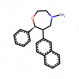 CN1CCO[C@H](c2ccccc2)C(c2ccc3ccccc3c2)C1